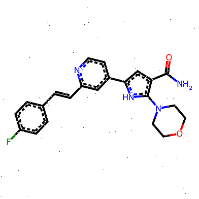 NC(=O)c1cc(-c2ccnc(C=Cc3ccc(F)cc3)c2)[nH]c1N1CCOCC1